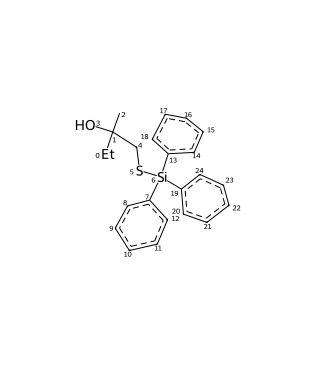 CCC(C)(O)CS[Si](c1ccccc1)(c1ccccc1)c1ccccc1